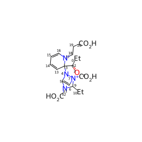 CCC(=O)C1(N2C3=C[N+]2(C(=O)O)C(CC)N3C(=O)O)C=CC=CN1CCC(=O)O